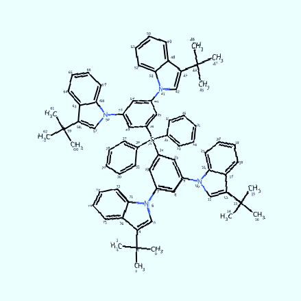 CC(C)(C)c1cn(-c2cc(-n3cc(C(C)(C)C)c4ccccc43)cc([Si](c3ccccc3)(c3ccccc3)c3cc(-n4cc(C(C)(C)C)c5ccccc54)cc(-n4cc(C(C)(C)C)c5ccccc54)c3)c2)c2ccccc12